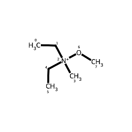 CC[N+](C)(CC)OC